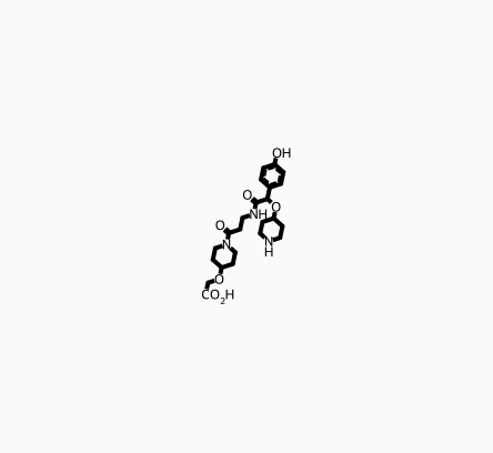 O=C(O)COC1CCN(C(=O)CCNC(=O)C(OC2CCNCC2)c2ccc(O)cc2)CC1